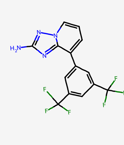 Nc1nc2c(-c3cc(C(F)(F)F)cc(C(F)(F)F)c3)cccn2n1